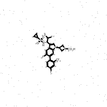 O=C(O)N1CC(n2cc([C@H](NS(=O)(=O)C3CC3)C(F)F)c3cc(F)c(-c4ccc(F)cc4C(F)(F)F)cc32)C1